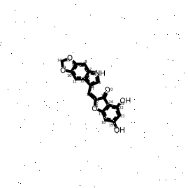 O=C1C(=Cc2c[nH]c3cc4c(cc23)OCO4)Oc2cc(O)cc(O)c21